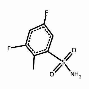 Cc1c(F)cc(F)cc1S(N)(=O)=O